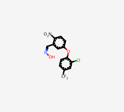 O=[N+]([O-])c1ccc(Oc2ccc(C(F)(F)F)cc2Cl)cc1/C=N\O